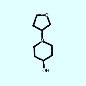 OC1CCN(C2CCOC2)CC1